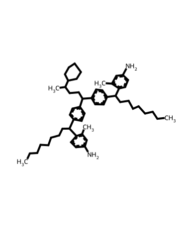 CCCCCCCCC(c1ccc(C(CCC(C)C2CCCCC2)c2ccc(C(CCCCCCCC)c3ccc(N)cc3C)cc2)cc1)c1ccc(N)cc1C